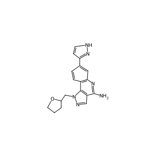 Nc1nc2cc(-c3cc[nH]n3)ccc2c2c1cnn2CC1CCCO1